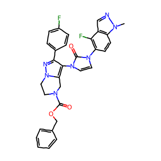 Cn1ncc2c(F)c(-n3ccn(-c4c(-c5ccc(F)cc5)nn5c4CN(C(=O)OCc4ccccc4)CC5)c3=O)ccc21